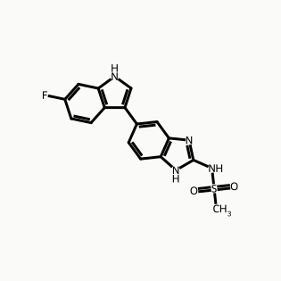 CS(=O)(=O)Nc1nc2cc(-c3c[nH]c4cc(F)ccc34)ccc2[nH]1